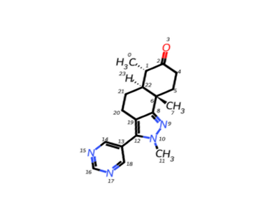 C[C@@H]1C(=O)CC[C@]2(C)c3nn(C)c(-c4cncnc4)c3CC[C@@H]12